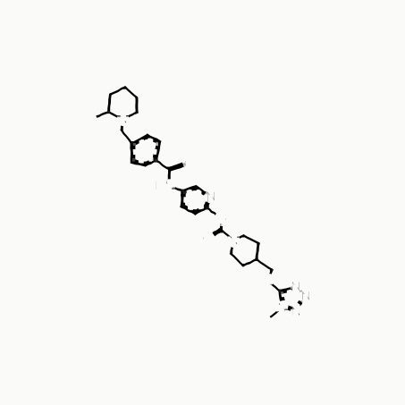 CC1CCCCN1Cc1ccc(C(=O)Nc2ccc(OC(=O)N3CCC(CSc4nnnn4C)CC3)nc2)cc1